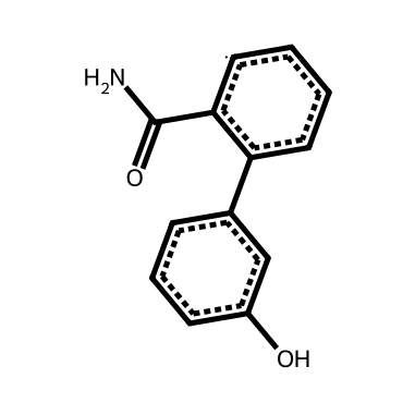 NC(=O)c1[c]cccc1-c1cccc(O)c1